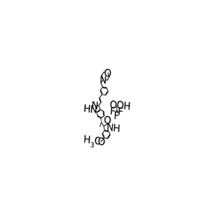 COc1ccc2c(c1)[C@]1(C[C@H]1c1ccc3c(/C=C/c4cccc(CN5CCOCC5)c4)n[nH]c3c1)C(=O)N2.O=C(O)C(F)(F)F